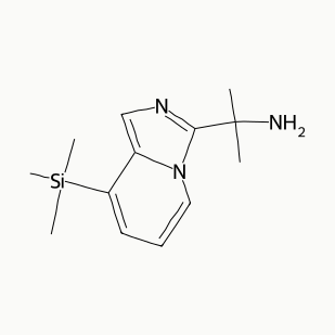 CC(C)(N)c1ncc2c([Si](C)(C)C)cccn12